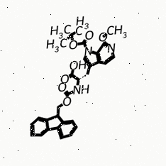 COc1nccc2c(C[C@H](NC(=O)OCC3c4ccccc4-c4ccccc43)C(=O)O)cn(C(=O)OC(C)(C)C)c12